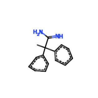 CC(C(=N)N)(c1ccccc1)c1ccccc1